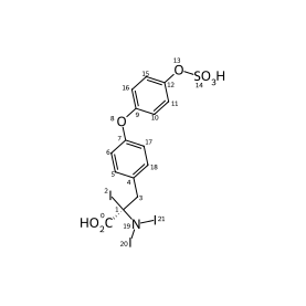 O=C(O)[C@](I)(Cc1ccc(Oc2ccc(OS(=O)(=O)O)cc2)cc1)N(I)I